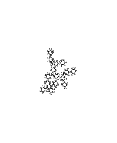 C1=CC(c2cc(-c3ccc4c(c3)c3cc(-c5cc(-c6ccccc6)cc6c5oc5ccc(-c7ccccc7)cc56)ccc3n4-c3cccc(-c4ccc5c(-c6ccccc6)c6ccccc6c(-c6ccccc6)c5c4)c3)c3oc4ccc(-c5ccccc5)cc4c3c2)=CCC1